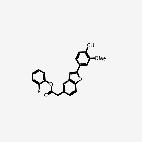 COc1cc(-c2cc3cc(CC(=O)Oc4ccccc4F)ccc3o2)ccc1O